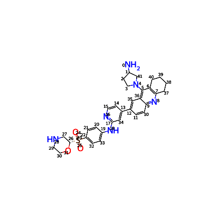 NC1CCN(c2c3c(nc4ccc(-c5ccnc(Nc6ccc(S(=O)(=O)[C@H]7CNCCO7)cc6)c5)cc24)CCCC3)C1